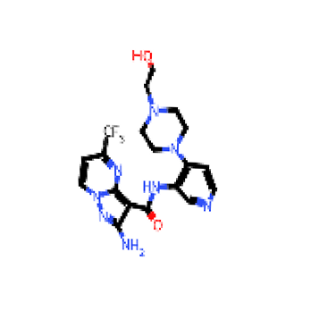 Nc1nn2ccc(C(F)(F)F)nc2c1C(=O)Nc1cnccc1N1CCN(CCO)CC1